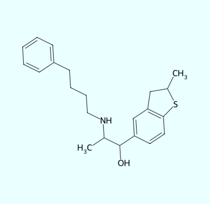 CC1Cc2cc(C(O)C(C)NCCCCc3ccccc3)ccc2S1